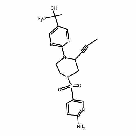 CC#CC1CN(S(=O)(=O)c2ccc(N)nc2)CCN1c1ncc(C(C)(O)C(F)(F)F)cn1